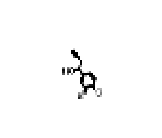 C#CCC(O)c1ccc(Cl)c(Br)c1